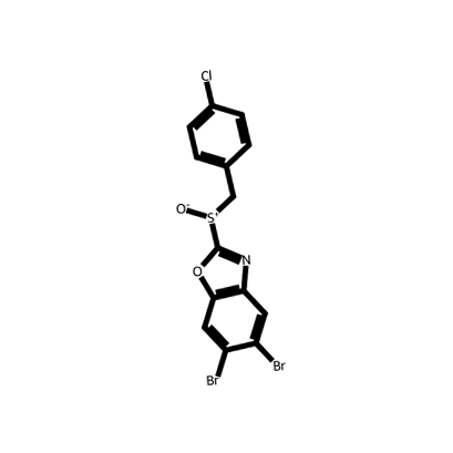 [O-][S+](Cc1ccc(Cl)cc1)c1nc2cc(Br)c(Br)cc2o1